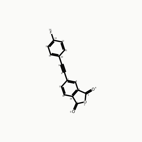 O=C1OC(=O)c2cc(C#Cc3ccc(F)cc3)ccc21